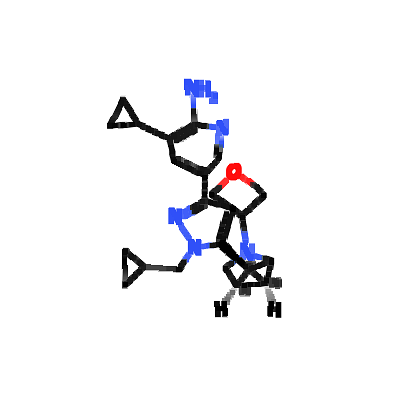 Nc1ncc(-c2cc([C@@]34C5[C@H]3[C@H]4CN5C3COC3)n(CC3CC3)n2)cc1C1CC1